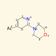 CC(=O)C1=CC=NC(N2CCOCC2)C1